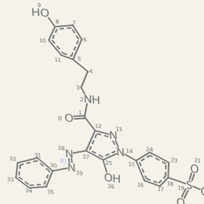 O=C(NCCc1ccc(O)cc1)c1nn(-c2ccc(S(=O)(=O)O)cc2)c(O)c1/N=N/c1ccccc1